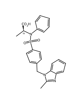 Cc1nc2ccccc2n1Cc1ccc(S(=O)(=O)N(c2ccccc2)[C@@H](C)C(=O)O)cc1